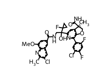 COc1cc(C(=O)NCC(O)(c2cc3c(c(-c4cc(Cl)c(F)cc4F)n2)OC[C@]3(C)C(N)=O)C2(F)CC2)cc2cc(Cl)c(C)nc12